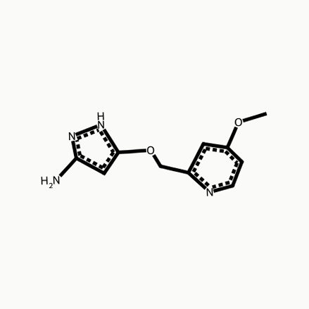 COc1ccnc(COc2cc(N)n[nH]2)c1